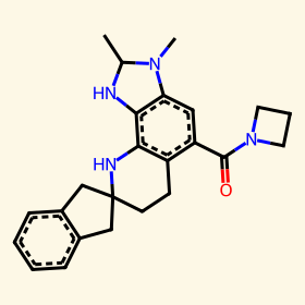 CC1Nc2c(cc(C(=O)N3CCC3)c3c2NC2(CC3)Cc3ccccc3C2)N1C